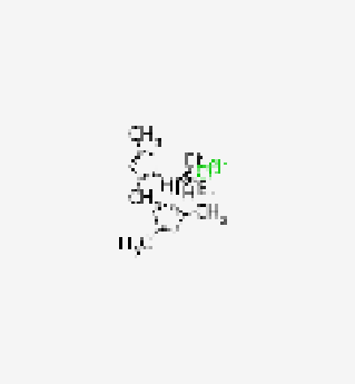 CC[SiH](CC)[Hf+2]([C]1=C(C)C=C(C)C1)[C]1=C(C)C=C(C)C1.[Cl-].[Cl-]